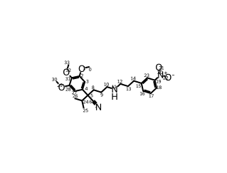 COc1cc(C(C#N)(CCCNCCCc2cccc([N+](=O)[O-])c2)C(C)C)cc(OC)c1OC